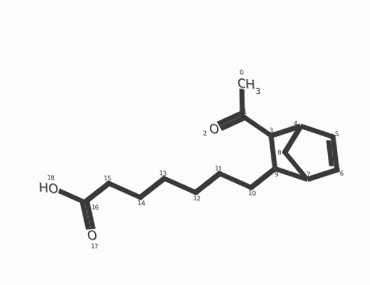 CC(=O)C1C2C=CC(C2)C1CCCCCCC(=O)O